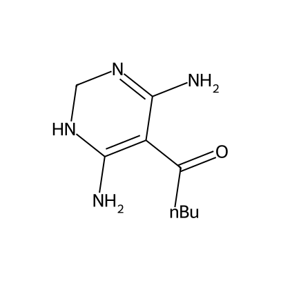 CCCCC(=O)C1=C(N)NCN=C1N